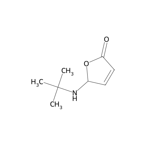 CC(C)(C)NC1C=CC(=O)O1